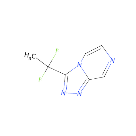 CC(F)(F)c1nnc2cnccn12